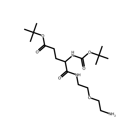 CC(C)(C)OC(=O)CCC(NC(=O)OC(C)(C)C)C(=O)NCCOCCN